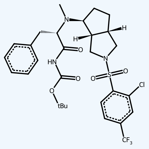 CN([C@@H](Cc1ccccc1)C(=O)NC(=O)OC(C)(C)C)[C@H]1CC[C@@H]2CN(S(=O)(=O)c3ccc(C(F)(F)F)cc3Cl)C[C@@H]21